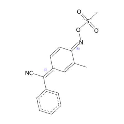 CC1=CC(=C(/C#N)c2ccccc2)/C=CC/1=N\OS(C)(=O)=O